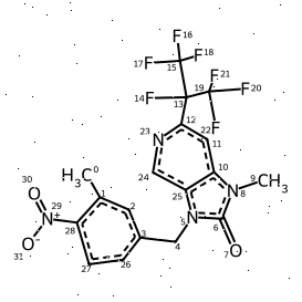 Cc1cc(Cn2c(=O)n(C)c3cc(C(F)(C(F)(F)F)C(F)(F)F)ncc32)ccc1[N+](=O)[O-]